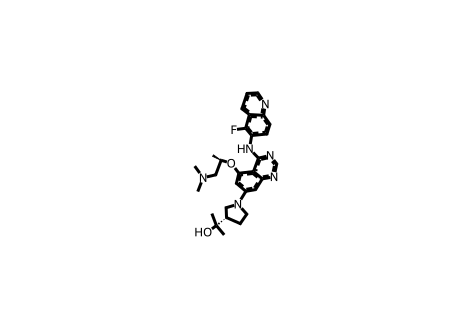 C[C@H](CN(C)C)Oc1cc(N2CC[C@H](C(C)(C)O)C2)cc2ncnc(Nc3ccc4ncccc4c3F)c12